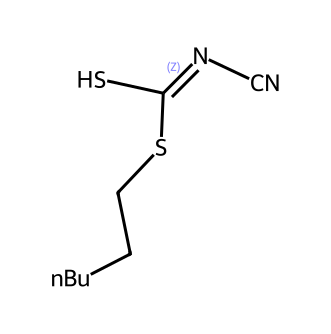 CCCCCCS/C(S)=N\C#N